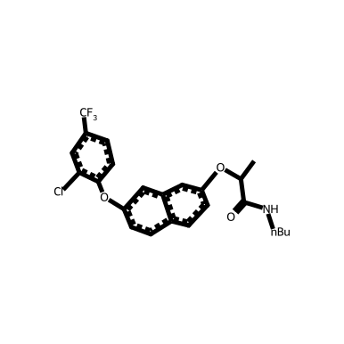 CCCCNC(=O)C(C)Oc1ccc2ccc(Oc3ccc(C(F)(F)F)cc3Cl)cc2c1